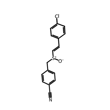 N#Cc1ccc(C[S+]([O-])C=Cc2ccc(Cl)cc2)cc1